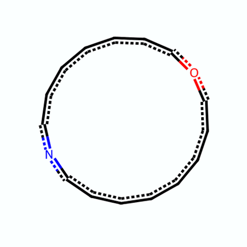 c1ccccocccccccnccc1